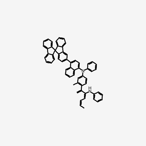 C=C(/C(=C\C=C/C)Nc1ccccc1)c1ccc(N(c2ccccc2)c2ccc(-c3ccc4c(c3)-c3ccccc3C43c4ccccc4-c4ccccc43)c3ccccc23)cc1C